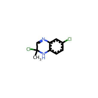 CC1(Cl)C=Nc2cc(Cl)ccc2N1